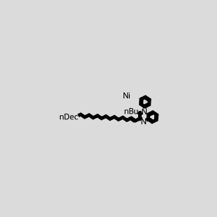 CCCCCCCCCCCCCCCCCCCCCCC=CC(=Nc1ccccc1)C(CCCC)=Nc1ccccc1.[Ni]